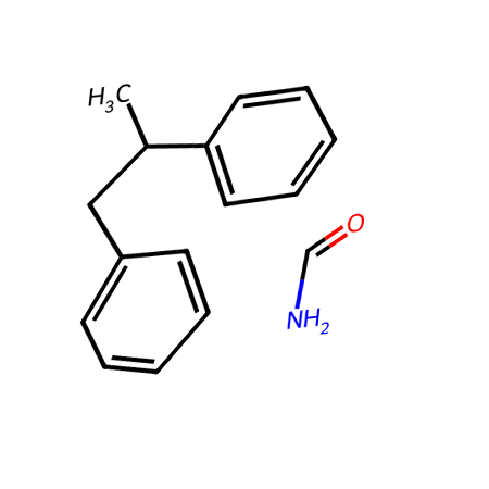 CC(Cc1ccccc1)c1ccccc1.NC=O